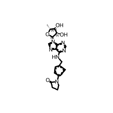 C[C@H]1O[C@@H](n2cnc3c(NCc4ccc(N5CCCC5=O)cc4)ncnc32)[C@H](O)[C@@H]1O